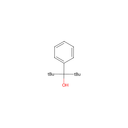 CC(C)(C)C(O)(c1ccccc1)C(C)(C)C